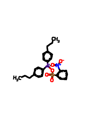 CCCc1ccc([I+](OS(=O)(=O)c2ccccc2[N+](=O)[O-])c2ccc(CCC)cc2)cc1